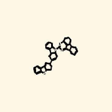 c1ccc2c(c1)-c1cccc3nc(-n4c5ccccc5c5cc(-c6ccc7sc8ccccc8c7c6)ccc54)nc-2c13